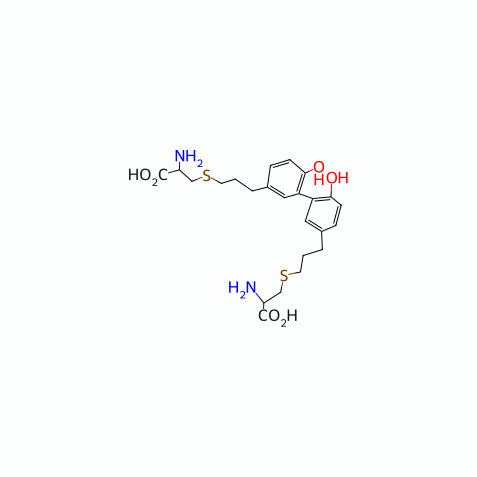 NC(CSCCCc1ccc(O)c(-c2cc(CCCSCC(N)C(=O)O)ccc2O)c1)C(=O)O